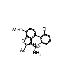 COc1ccc(-c2c(C)cccc2Cl)c2c(C(N)=O)c(C(C)=O)oc12